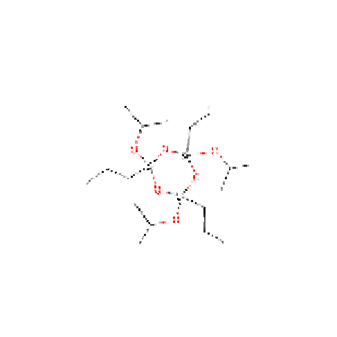 CCC[Si]1(OC(C)C)O[Si](CCC)(OC(C)C)O[Si](CCC)(OC(C)C)O1